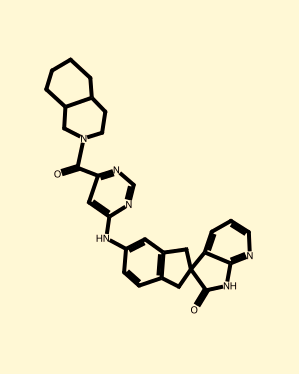 O=C(c1cc(Nc2ccc3c(c2)CC2(C3)C(=O)Nc3ncccc32)ncn1)N1CCC2CCCCC2C1